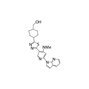 CNc1cc(-n2ccc3cccnc32)ncc1-c1nnc(C2CCC(CO)CC2)s1